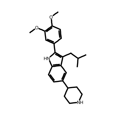 COc1ccc(-c2[nH]c3ccc(C4CCNCC4)cc3c2CC(C)C)cc1OC